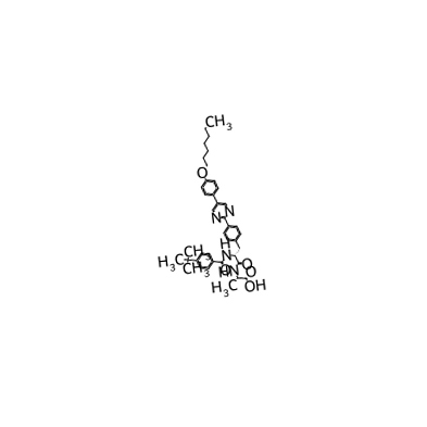 CCCCCCCOc1ccc(-c2cnc(-c3ccc(C[C@@H](NC(=O)c4ccc(C(C)(C)C)cc4)C(=O)N[C@H](C)C(=O)O)cc3)nc2)cc1